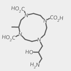 CC1CN(C(=O)O)CCN(C(=O)O)CCN(CC(O)CN)CCN1C(=O)O